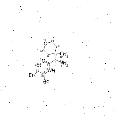 CCC(CC)[C@H](NC(=O)C(N)C1(C)CCOCC1)C(C)=O